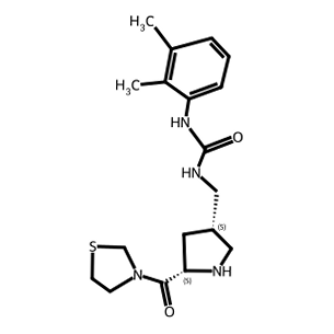 Cc1cccc(NC(=O)NC[C@@H]2CN[C@H](C(=O)N3CCSC3)C2)c1C